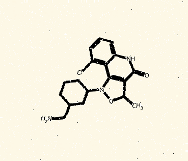 CC1ON(C2CCCC(CN)C2)c2c1c(=O)[nH]c1cccc(Cl)c21